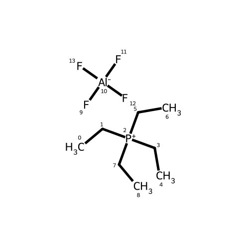 CC[P+](CC)(CC)CC.[F][Al-]([F])([F])[F]